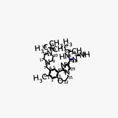 Cc1cc2c(cc1CN1CCN(C(C)(C)C)CC1)-c1nc(/C(=N/C=N)NC(C)C)cn1CCO2